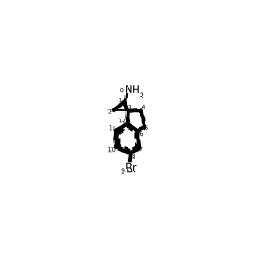 N[C@@H]1C[C@]12CCc1cc(Br)ccc12